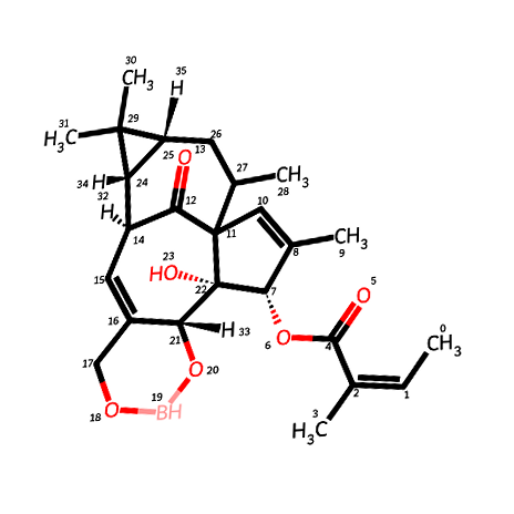 C/C=C(/C)C(=O)O[C@H]1C(C)=CC23C(=O)[C@@H](C=C4COBO[C@H]4[C@]12O)[C@H]1[C@@H](CC3C)C1(C)C